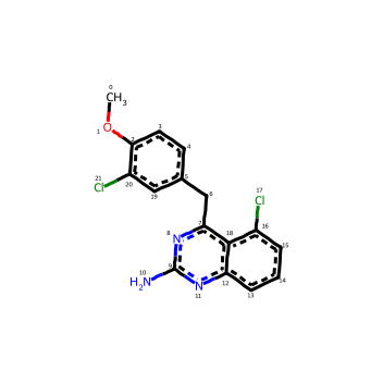 COc1ccc(Cc2nc(N)nc3cccc(Cl)c23)cc1Cl